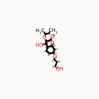 CCC(C)Oc1c(O)c2ccc(OCCCO)cc2oc1=O